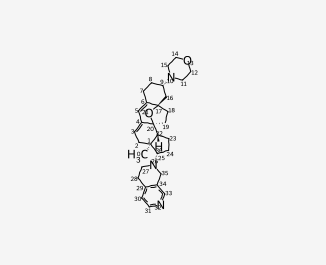 C[C@]12CC=C3C=C4CC[C@H](N5CCOCC5)C[C@]45CC[C@]3(O5)[C@@H]1CC[C@@H]2N1CCc2ccncc2C1